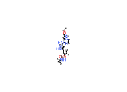 CCOCc1cc2c(Nc3cc(C4CCC(OC(=O)NC5(C)CC5)C4)[nH]n3)nccn2n1